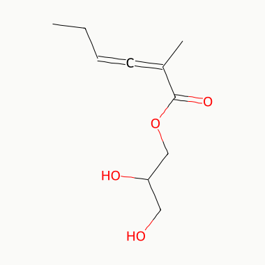 CCC=C=C(C)C(=O)OCC(O)CO